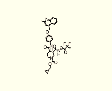 Cc1cc(COc2ccc(NC(=O)C3CCN(C(=O)OCC4CC4)CC3C(=O)NOC(=O)C(F)(F)F)cc2)c2ccccc2n1